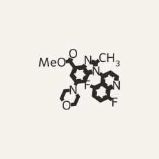 COC(=O)c1cc(N2CCOCC2)cc2c1nc(C)n2-c1ccnc2c(F)ccc(F)c12